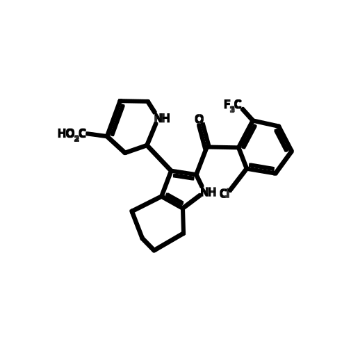 O=C(O)C1=CCNC(c2c(C(=O)c3c(Cl)cccc3C(F)(F)F)[nH]c3c2CCCC3)C1